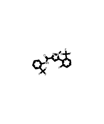 Cn1nc(C(=O)Nc2ccccc2C(F)(F)F)cc1-c1c(F)cccc1C(F)(F)F